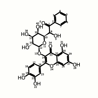 O=C(c1ccccc1)C(O)[C@H]1O[C@@H](Oc2c(-c3ccc(O)c(O)c3)oc3cc(O)cc(O)c3c2=O)[C@H](O)[C@@H](O)[C@H]1O